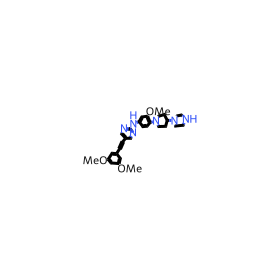 COc1cc(C#Cc2cnc(Nc3ccc(N4CCC(N5CCNCC5)CC4)c(OC)c3)nc2)cc(OC)c1